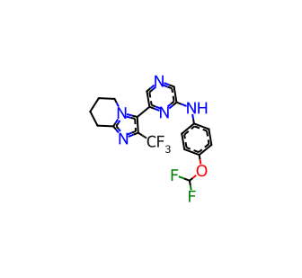 FC(F)Oc1ccc(Nc2cncc(-c3c(C(F)(F)F)nc4n3CCCC4)n2)cc1